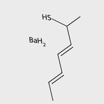 CC=CC=CC(C)S.[BaH2]